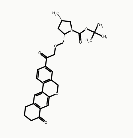 C[C@H]1C[C@@H](COCC(=O)c2ccc3c(c2)COc2cc4c(cc2-3)CCCC4=O)N(C(=O)OC(C)(C)C)C1